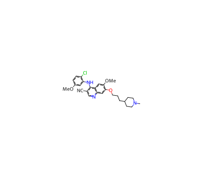 COc1ccc(Cl)c(Nc2c(C#N)cnc3cc(OCCCC4CCN(C)CC4)c(OC)cc23)c1